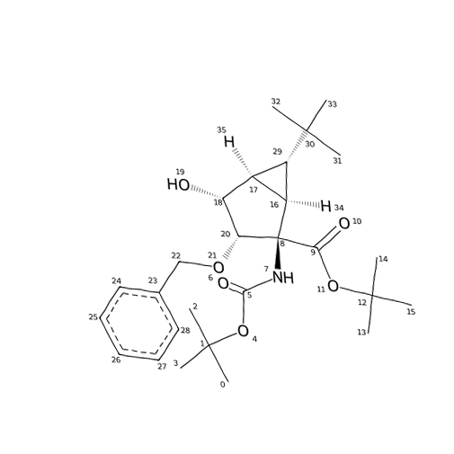 CC(C)(C)OC(=O)N[C@]1(C(=O)OC(C)(C)C)[C@H]2[C@@H]([C@@H](O)[C@H]1OCc1ccccc1)[C@@H]2C(C)(C)C